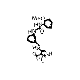 COc1ccccc1NC(=O)Nc1cccc(CNc2c[nH]nc2C(N)=O)c1